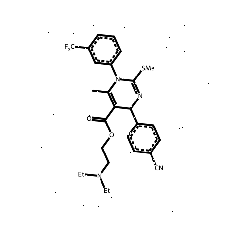 CCN(CC)CCOC(=O)C1=C(C)N(c2cccc(C(F)(F)F)c2)C(SC)=NC1c1ccc(C#N)cc1